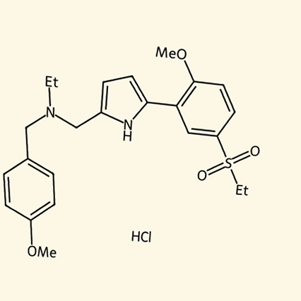 CCN(Cc1ccc(OC)cc1)Cc1ccc(-c2cc(S(=O)(=O)CC)ccc2OC)[nH]1.Cl